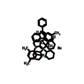 Cc1cc(C)c(N2CCN(c3c(C)cc(C)cc3C)C2=P(C2CCCCC2)(C2CCCCC2)C2(Cl)CCCC(Cl)C2=C2C=C(c3ccccc3)c3ccccc32)c(C)c1.[Ru]